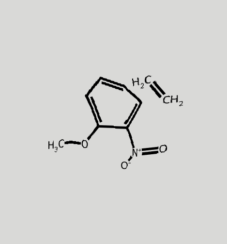 C=C.COc1ccccc1[N+](=O)[O-]